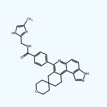 Cc1c[nH]c(CNC(=O)c2ccc(-c3nc4ccc5[nH]ncc5c4c4c3CC3(CCOCC3)CC4)cc2)n1